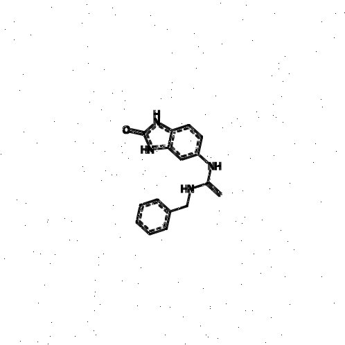 C=C(NCc1ccccc1)Nc1ccc2[nH]c(=O)[nH]c2c1